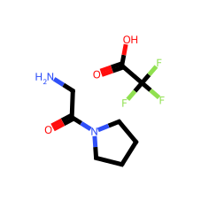 NCC(=O)N1CCCC1.O=C(O)C(F)(F)F